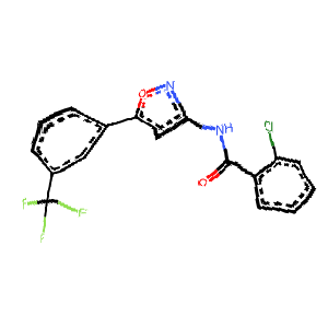 O=C(Nc1cc(-c2cccc(C(F)(F)F)c2)on1)c1ccccc1Cl